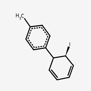 Cc1ccc(C2C=CC=C[C@@H]2I)cc1